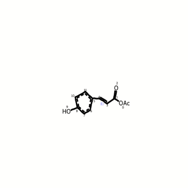 CC(=O)OC(=O)/C=C/c1ccc(O)cc1